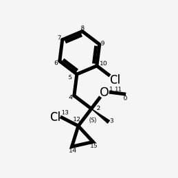 CO[C@@](C)(Cc1ccccc1Cl)C1(Cl)CC1